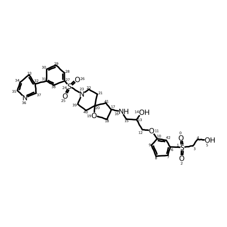 O=S(=O)(CCO)c1cccc(OCC(O)CNC2COC3(CCN(S(=O)(=O)c4cccc(-c5cccnc5)c4)CC3)C2)c1